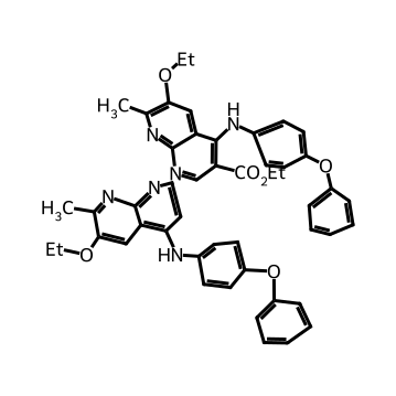 CCOC(=O)c1cnc2nc(C)c(OCC)cc2c1Nc1ccc(Oc2ccccc2)cc1.CCOc1cc2c(Nc3ccc(Oc4ccccc4)cc3)ccnc2nc1C